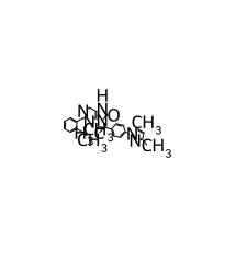 Cc1cc(C)n(-c2ccc(C(C)n3c(=O)[nH]c4cnc(-c5ccccc5C(C)C)nc43)cc2)n1